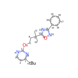 CC(C)(C)c1ccnc(OCCC(C)(C)c2nc(-c3ccccc3)no2)n1